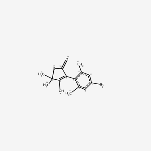 CCc1cc(C)c(C2=C(O)C(C)(C)SC2=O)c(C)c1